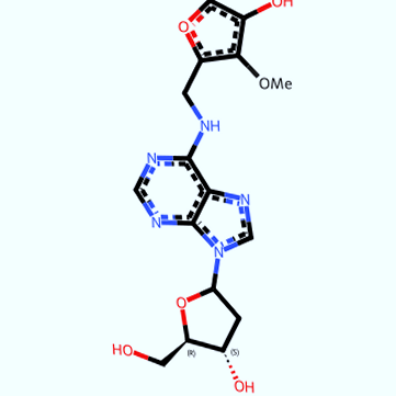 COc1c(O)coc1CNc1ncnc2c1ncn2C1C[C@H](O)[C@@H](CO)O1